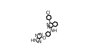 Clc1ccc(-c2nnc(Nc3ccc(Oc4ncnc5[nH]cnc45)cc3)c3ccccc23)cc1